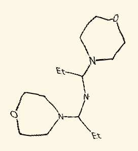 CCC([N]C(CC)N1CCOCC1)N1CCOCC1